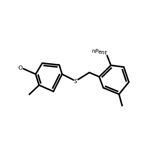 CCCCCc1ccc(C)cc1CSc1ccc([O])c(C)c1